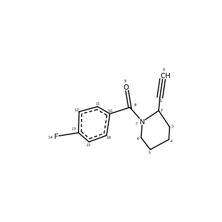 C#CC1CCCCN1C(=O)c1ccc(F)cc1